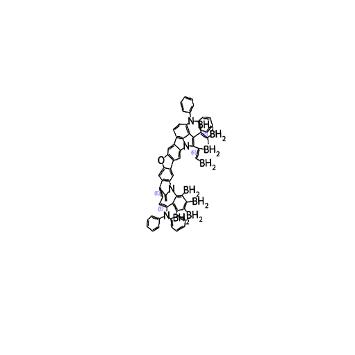 B/C=C(\B)c1c(/C(B)=C(/B)C)c2c(N(c3ccccc3)c3ccccc3)ccc3c4cc5oc6cc7\c8c(=C)n(c7cc6c5cc4n1c23)-c1c(B)c(B)c(B)c(B)c1/C(N(c1ccccc1)c1ccccc1)=C\C=8